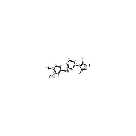 Cc1c[nH]c(C)c1-c1ccnc(Nc2ccc(I)c(Cl)c2)n1